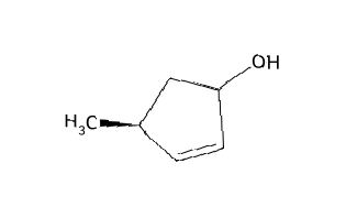 C[C@@H]1C=CC(O)C1